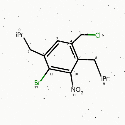 CC(C)Cc1cc(CCl)c(CC(C)C)c([N+](=O)[O-])c1Br